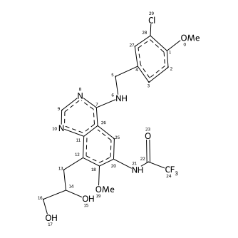 COc1ccc(CNc2ncnc3c(CC(O)CO)c(OC)c(NC(=O)C(F)(F)F)cc23)cc1Cl